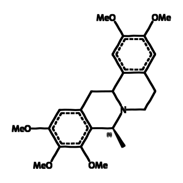 COc1cc2c(cc1OC)C1Cc3cc(OC)c(OC)c(OC)c3[C@H](C)N1CC2